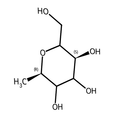 C[C@H]1OC(CO)[C@@H](O)C(O)C1O